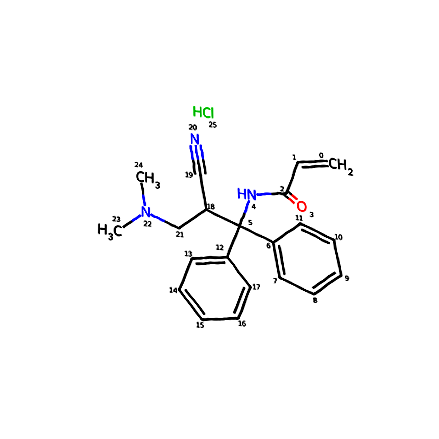 C=CC(=O)NC(c1ccccc1)(c1ccccc1)C(C#N)CN(C)C.Cl